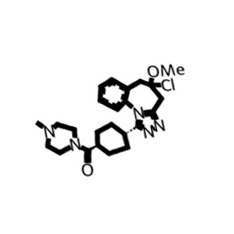 COC1(Cl)Cc2ccccc2-n2c(nnc2[C@H]2CC[C@H](C(=O)N3CCN(C)CC3)CC2)C1